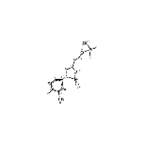 Cc1ncc(N2CC(CCO[Si](C)(C)C(C)(C)C)OC2=O)cc1C#N